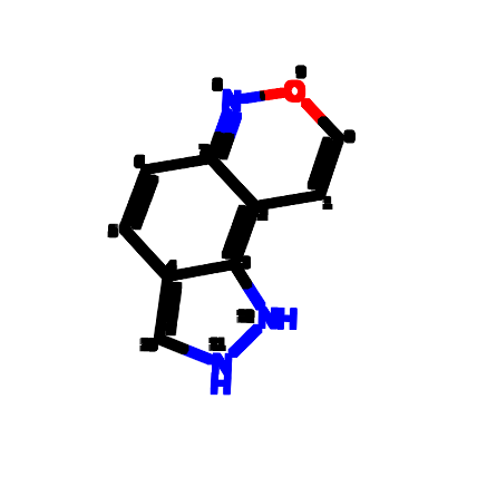 C1=Cc2c3c(ccc2=NO1)=CNN3